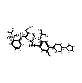 Cc1cc(Nc2ncc(CI)c(Nc3ccccc3S(=O)(=O)C(C)C)n2)c(OC(C)C)cc1C1CCC(N2CCCC2)CC1